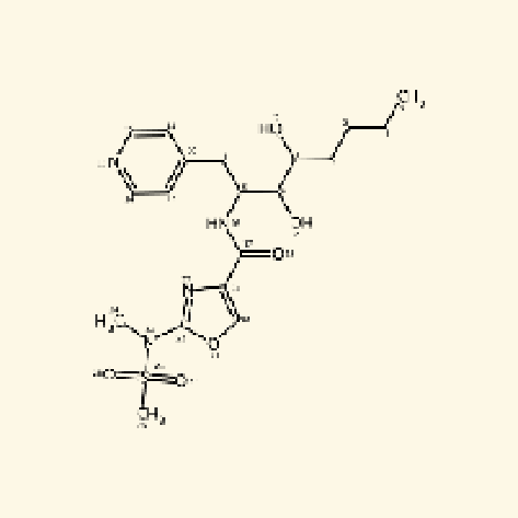 CCCCC(O)C(O)C(Cc1ccncc1)NC(=O)c1coc(N(C)S(C)(=O)=O)n1